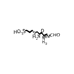 NC(CNC=O)C(=O)C(N)CSCCCS(=O)(=O)O